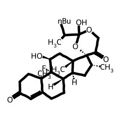 CCCCC(C)C1(O)OCC(=O)[C@@]2(O1)[C@H](C)C[C@H]1[C@@H]3CCC4=CC(=O)CC[C@]4(C)[C@@]3(F)[C@@H](O)C[C@@]12C